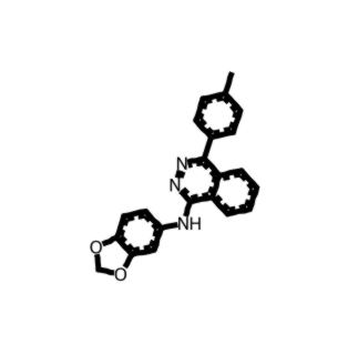 Cc1ccc(-c2nnc(Nc3ccc4c(c3)OCO4)c3ccccc23)cc1